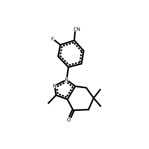 Cc1nn(-c2ccc(C#N)c(F)c2)c2c1C(=O)CC(C)(C)C2